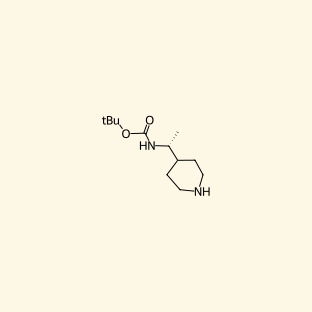 C[C@@H](NC(=O)OC(C)(C)C)C1CCNCC1